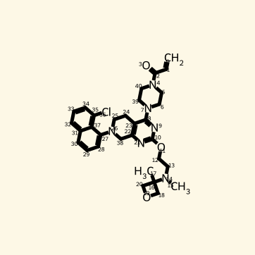 C=CC(=O)N1CCN(c2nc(OCCN(C)C3(C)COC3)nc3c2CCN(c2cccc4cccc(Cl)c24)C3)CC1